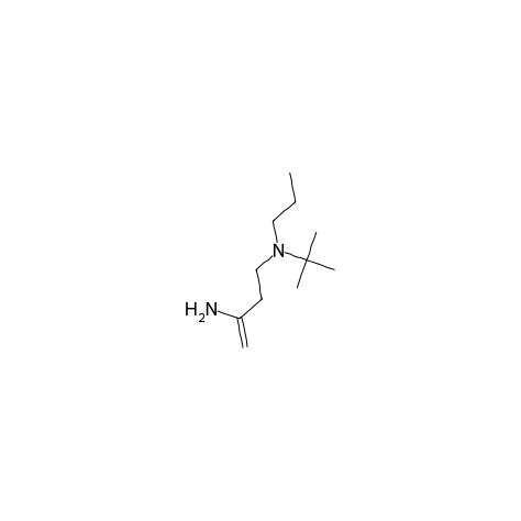 C=C(N)CCN(CCC)C(C)(C)C